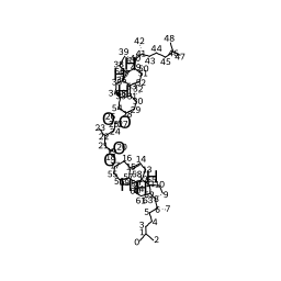 CC(C)CCC[C@@H](C)[C@H]1CC[C@H]2[C@@H]3CC=C4C[C@@H](OC(=O)CC(C)CC(=O)O[C@H]5CC[C@@]6(C)C(=CC[C@H]7[C@@H]8CC[C@H]([C@H](C)CCCC(C)C)[C@@]8(C)CC[C@@H]76)C5)CC[C@]4(C)[C@H]3CC[C@]12C